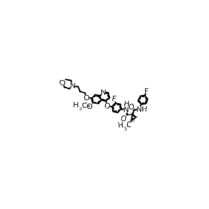 COc1cc2c(Oc3ccc(NC(=O)[C@@]4(C(=O)Nc5ccc(F)cc5)C[C@H]4C)cc3F)ccnc2cc1OCCCN1CCOCC1